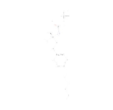 CCCCCOc1ccc(CC[C@](C)(CO)NC(=O)OC(C)(C)C)cc1